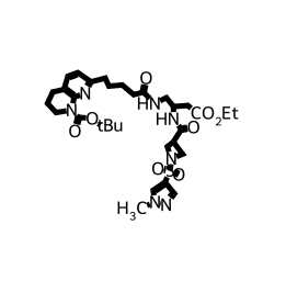 CCOC(=O)CC(CNC(=O)CCCCc1ccc2c(n1)N(C(=O)OC(C)(C)C)CCC2)NC(=O)C1CN(S(=O)(=O)c2cnn(C)c2)C1